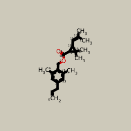 C=CCc1cc(C)c(COC(=O)C2C(C=C(C)C)C2(C)C)c(C)c1